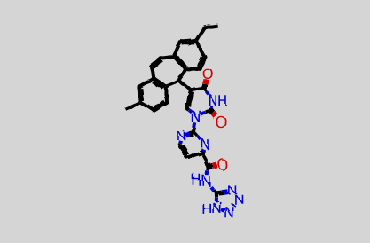 CCc1ccc2c(c1)C=Cc1cc(C)ccc1C2c1cn(-c2nccc(C(=O)Nc3nnn[nH]3)n2)c(=O)[nH]c1=O